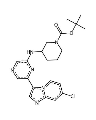 CC(C)(C)OC(=O)N1CCCC(Nc2cncc(-c3cnc4cc(Cl)ccn34)n2)C1